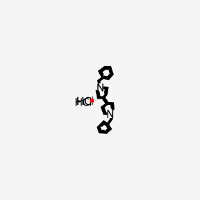 C1=CN(Cc2ccccc2)C=CC1=C1C=CN(Cc2ccccc2)C=C1.Cl.Cl